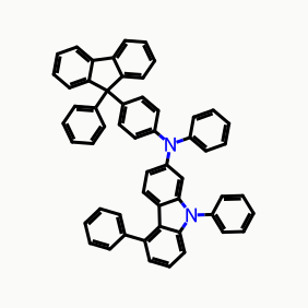 c1ccc(-c2cccc3c2c2ccc(N(c4ccccc4)c4ccc(C5(c6ccccc6)c6ccccc6-c6ccccc65)cc4)cc2n3-c2ccccc2)cc1